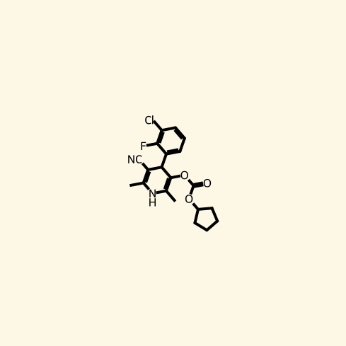 CC1=C(C#N)C(c2cccc(Cl)c2F)C(OC(=O)OC2CCCC2)=C(C)N1